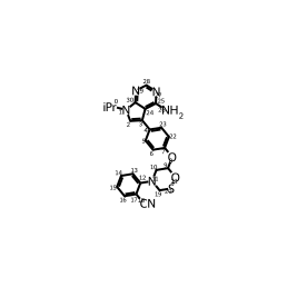 CC(C)n1cc(-c2ccc(OC3CN(c4ccccc4C#N)CSO3)cc2)c2c(N)ncnc21